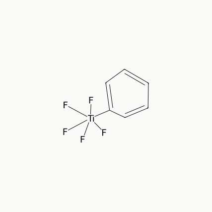 [F][Ti]([F])([F])([F])([F])[c]1ccccc1